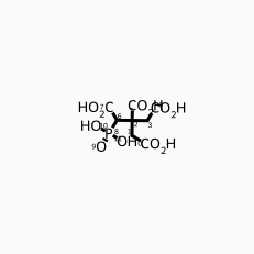 O=C(O)CC(CC(=O)O)(C(=O)O)C(C(=O)O)P(=O)(O)O